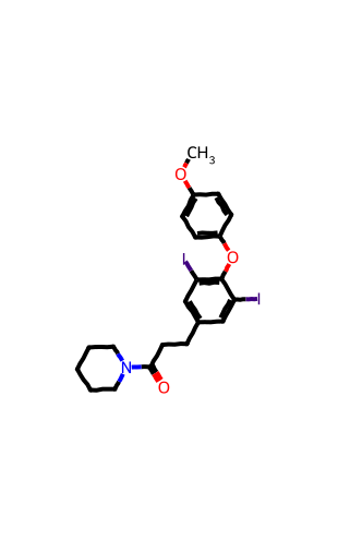 COc1ccc(Oc2c(I)cc(CCC(=O)N3CCCCC3)cc2I)cc1